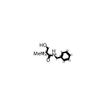 CN[C@H](CO)C(=O)NCc1ccccc1